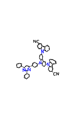 N#Cc1ccc2c(c1)c1ccccc1n2-c1ccc2c(c1)c1cc(-n3c4ccccc4c4cc(C#N)ccc43)ccc1n2-c1ccc(-c2cc(-c3ccccc3)nc(-c3ccccc3)n2)cc1